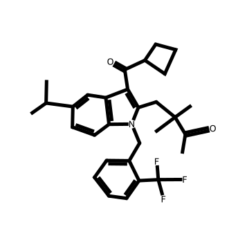 CC(=O)C(C)(C)Cc1c(C(=O)C2CCC2)c2cc(C(C)C)ccc2n1Cc1ccccc1C(F)(F)F